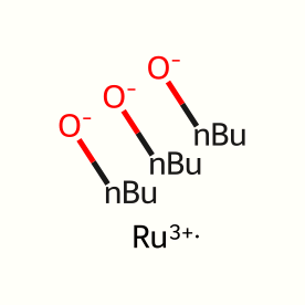 CCCC[O-].CCCC[O-].CCCC[O-].[Ru+3]